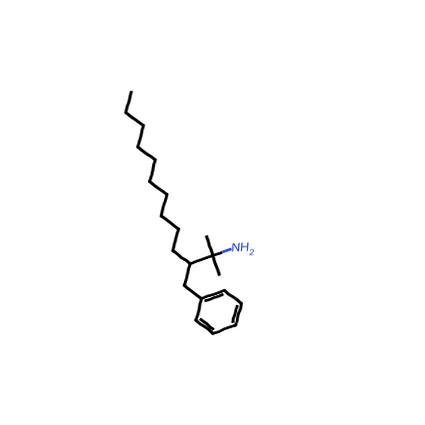 CCCCCCCCCCC(Cc1ccccc1)C(C)(C)N